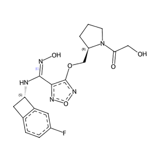 O=C(CO)N1CCC[C@@H]1COc1nonc1/C(=N\O)N[C@H]1Cc2ccc(F)cc21